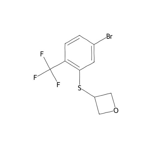 FC(F)(F)c1ccc(Br)cc1SC1COC1